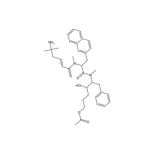 CC(=O)OCCCC(O)C(Cc1ccccc1)N(C)C(=O)C(Cc1ccc2ccccc2c1)N(C)C(=O)/C=C/CC(C)(C)N